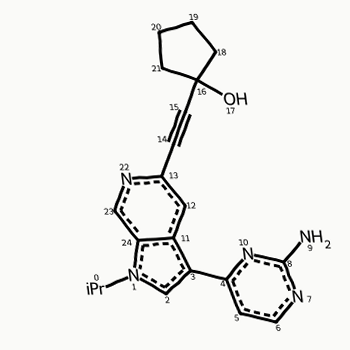 CC(C)n1cc(-c2ccnc(N)n2)c2cc(C#CC3(O)CCCC3)ncc21